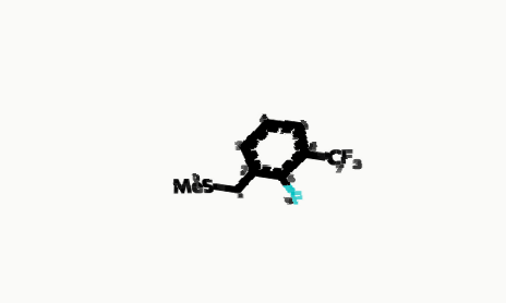 CSCc1cccc(C(F)(F)F)c1F